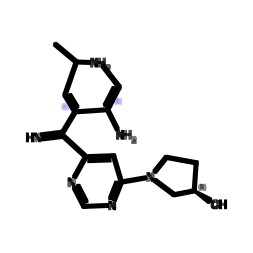 C/C=C(N)\C(=C/C(C)N)C(=N)c1cc(N2CC[C@@H](O)C2)ncn1